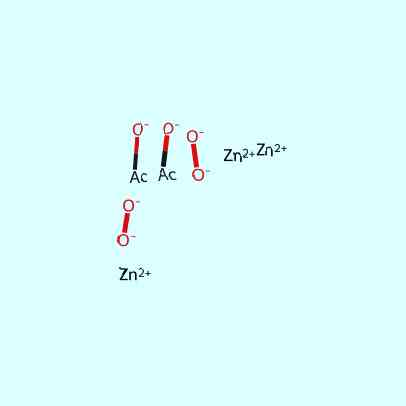 CC(=O)[O-].CC(=O)[O-].[O-][O-].[O-][O-].[Zn+2].[Zn+2].[Zn+2]